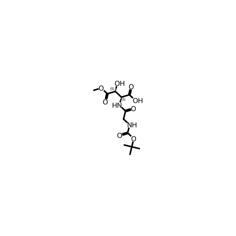 COC(=O)[C@@H](O)[C@H](NC(=O)CNC(=O)OC(C)(C)C)C(=O)O